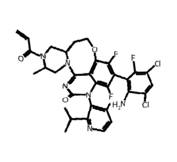 C=CC(=O)N1CC2CCOc3c(F)c(-c4c(N)c(Cl)cc(Cl)c4F)c(F)c4c3c(nc(=O)n4-c3c(C)ccnc3C(C)C)N2CC1C